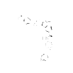 O=C(NC1CCN(Cc2ccncc2)CC1)c1ccc2[nH]c3c(c2c1)CN(Cc1ccc(C(F)(F)F)cc1)CC3